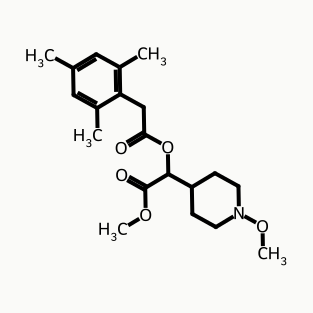 COC(=O)C(OC(=O)Cc1c(C)cc(C)cc1C)C1CCN(OC)CC1